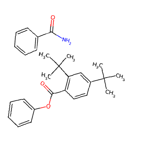 CC(C)(C)c1ccc(C(=O)Oc2ccccc2)c(C(C)(C)C)c1.NC(=O)c1ccccc1